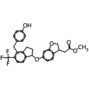 COC(=O)CC1COc2cc(O[C@@H]3CCc4c3ccc(C(F)(F)F)c4Cc3ccc(O)cc3)ccc21